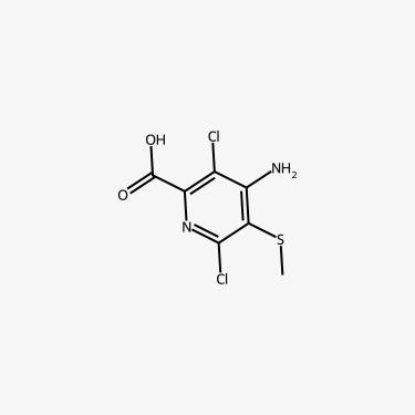 CSc1c(Cl)nc(C(=O)O)c(Cl)c1N